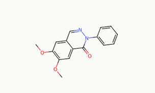 COc1cc2cnn(-c3ccccc3)c(=O)c2cc1OC